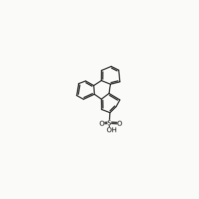 O=S(=O)(O)c1ccc2c3ccccc3c3ccccc3c2c1